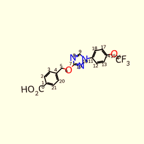 O=C(O)c1ccc(COc2ncn(-c3ccc(OC(F)(F)F)cc3)n2)cc1